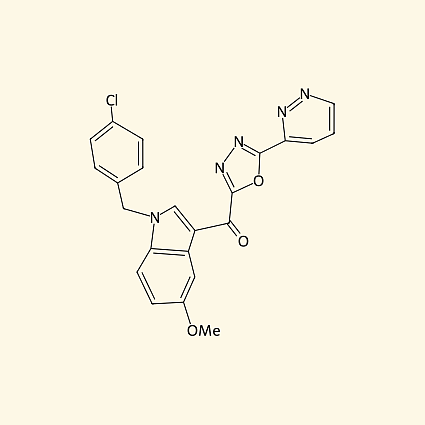 COc1ccc2c(c1)c(C(=O)c1nnc(-c3cccnn3)o1)cn2Cc1ccc(Cl)cc1